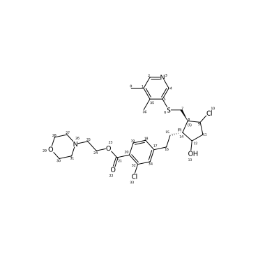 Cc1cncc(SC[C@H]2C(Cl)CC(O)[C@@H]2CCc2ccc(C(=O)OCCN3CCOCC3)c(Cl)c2)c1C